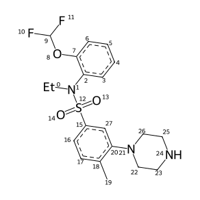 CCN(c1ccccc1OC(F)F)S(=O)(=O)c1ccc(C)c(N2CCNCC2)c1